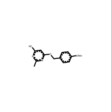 COc1ccc(COc2cc(C#N)nc(C)n2)cc1